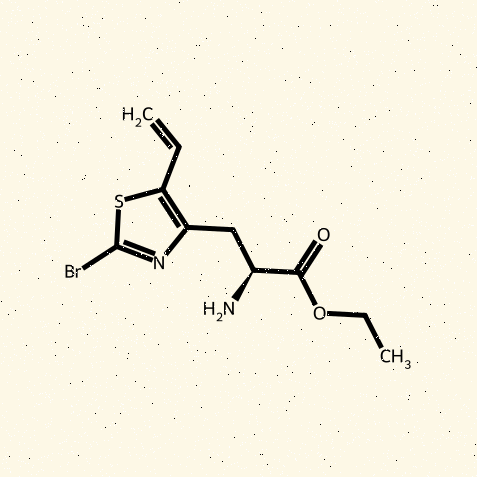 C=Cc1sc(Br)nc1C[C@H](N)C(=O)OCC